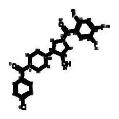 O=C(c1ccc(Cl)cc1)N1CCN(C2CN(C(=O)c3cc(F)c(F)cc3F)CC2O)CC1